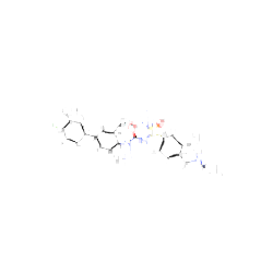 Cc1cc(-c2cc(C(C)C)c(NC(=O)N=S(N)(=O)c3ccc(CN(C)C)cc3)c(C(C)C)c2)ccc1F